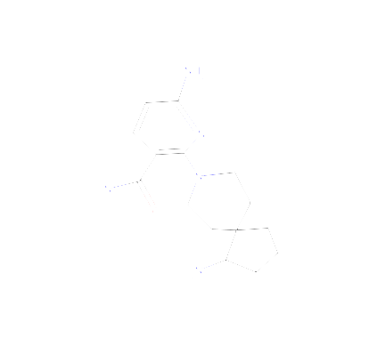 NC(=O)c1ccc(N)nc1N1CCC2(CCCC2N)CC1